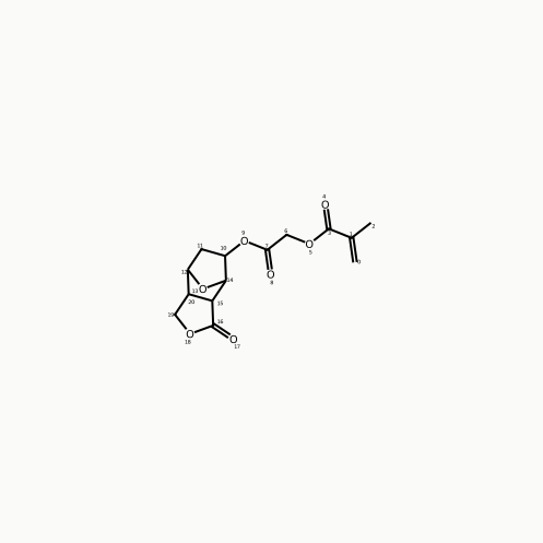 C=C(C)C(=O)OCC(=O)OC1CC2OC1C1C(=O)OCC21